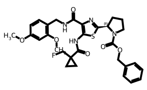 COc1ccc(CNC(=O)c2nc([C@H]3CCCN3C(=O)OCc3ccccc3)sc2NC(=O)C2(CF)CC2)c(OC)c1